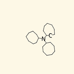 C1CCCC(N(C2CCCCCCC2)C2CCCCCCC2)CCC1